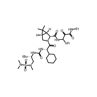 CCCC(NC(=O)[C@@H]1[C@@H]2[C@H](CN1C(=O)[C@@H](NC(=O)N[C@H](CN(C)S(=O)(=O)N(C)C)C(C)(C)C)C1CCCCC1)C2(C)C)C(=O)C(=O)NCC